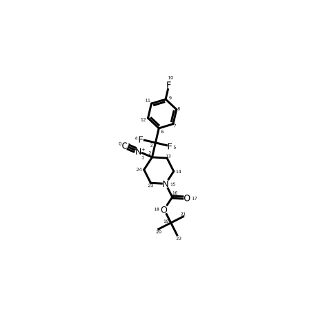 [C-]#[N+]C1(C(F)(F)c2ccc(F)cc2)CCN(C(=O)OC(C)(C)C)CC1